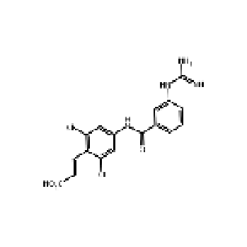 N=C(N)Nc1cccc(C(=O)Nc2cc(Cl)c(/C=C/C(=O)O)c(Cl)c2)c1